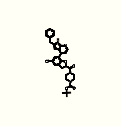 CC(C)(C)OC(=O)N1CCN(C(=O)C2Cc3cc(Cl)cc(-c4ccnc5[nH]c(Cc6ccccc6)cc45)c3O2)CC1